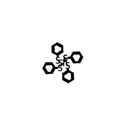 c1ccc([S][Sn]([S]c2ccccc2)([S]c2ccccc2)[S]c2ccccc2)cc1